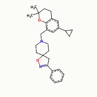 CC1(C)CCc2cc(C3CC3)cc(CN3CCC4(CC3)CC(c3ccccc3)=NO4)c2O1